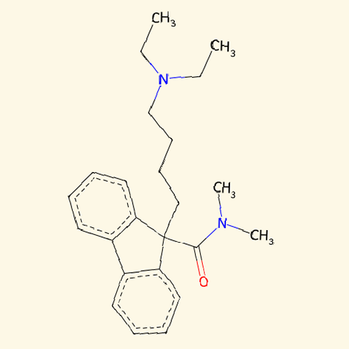 CCN(CC)CCCCC1(C(=O)N(C)C)c2ccccc2-c2ccccc21